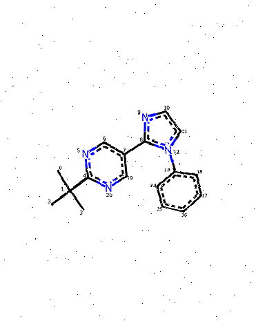 CC(C)(C)c1ncc(-c2nccn2-c2ccccc2)cn1